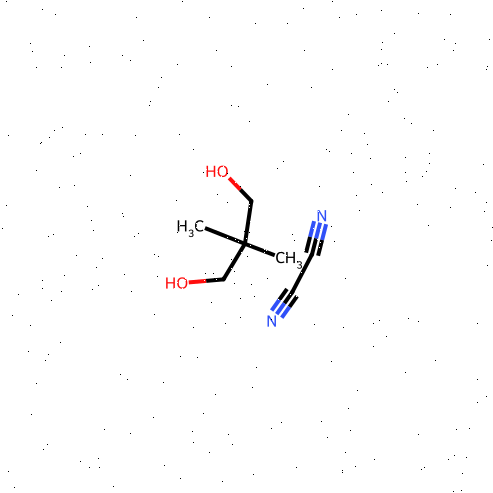 CC(C)(CO)CO.N#CC#N